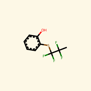 CC(F)(F)C(F)(F)Sc1ccccc1O